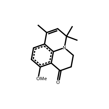 COc1ccc2c3c1C(=O)CCN3C(C)(C)C=C2C